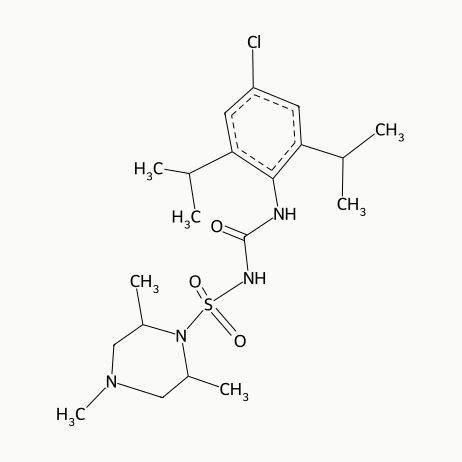 CC(C)c1cc(Cl)cc(C(C)C)c1NC(=O)NS(=O)(=O)N1C(C)CN(C)CC1C